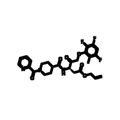 C=CCOC(=O)C[C@H](NC(=O)C1CCN(C(=O)c2ccccn2)CC1)C(=O)COc1c(C)c(F)cc(F)c1F